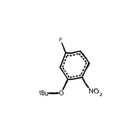 CC(C)(C)Oc1cc(F)ccc1[N+](=O)[O-]